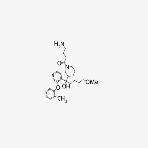 COCCCCC(O)(c1ccccc1Oc1ccccc1C)C1CCCN(C(=O)CCCN)C1